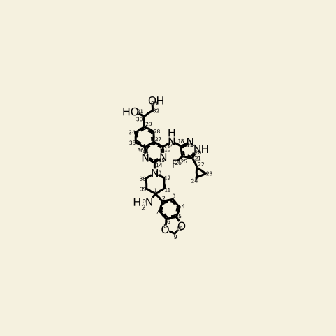 NC1(c2ccc3c(c2)OCO3)CCN(c2nc(Nc3n[nH]c(C4CC4)c3F)c3cc(C(O)CO)ccc3n2)CC1